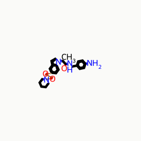 CC(C(=O)NCc1ccc(N)cc1)n1ccc2cc(S(=O)(=O)N3CCCCC3)ccc21